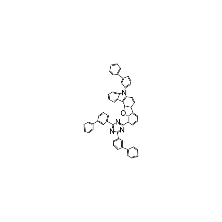 C1=CC2c3cccc(-c4nc(-c5cccc(-c6ccccc6)c5)nc(-c5cccc(-c6ccccc6)c5)n4)c3OC2c2c1n(-c1cccc(-c3ccccc3)c1)c1ccccc21